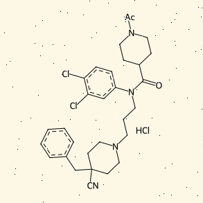 CC(=O)N1CCC(C(=O)N(CCCN2CCC(C#N)(Cc3ccccc3)CC2)c2ccc(Cl)c(Cl)c2)CC1.Cl